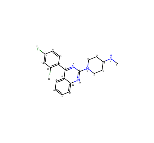 CNC1CCN(c2nc(-c3ccc(F)cc3F)c3ccccc3n2)CC1